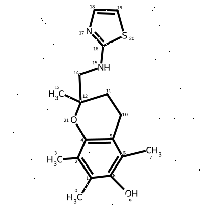 Cc1c(C)c2c(c(C)c1O)CCC(C)(CNc1nccs1)O2